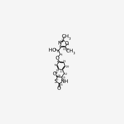 Cc1nc(C(O)COc2ccc(CC3NC(=O)SC3=O)cc2)c(C)o1